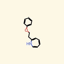 [c]1ccc(OCCC2=CC=CC=CN2)cc1